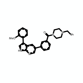 COc1ccccc1-c1c[nH]c2ncc(-c3cccc(C(=O)N4CCN(CC(C)C)CC4)c3)cc12